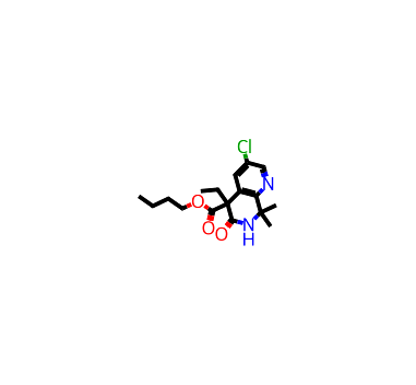 CCCCOC(=O)C1(CC)C(=O)NC(C)(C)c2ncc(Cl)cc21